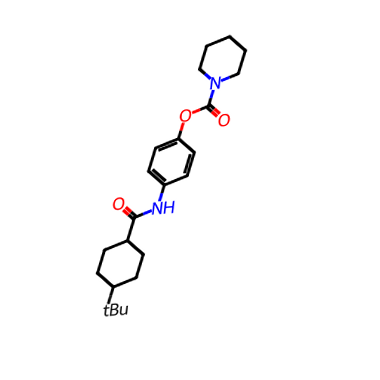 CC(C)(C)C1CCC(C(=O)Nc2ccc(OC(=O)N3CCCCC3)cc2)CC1